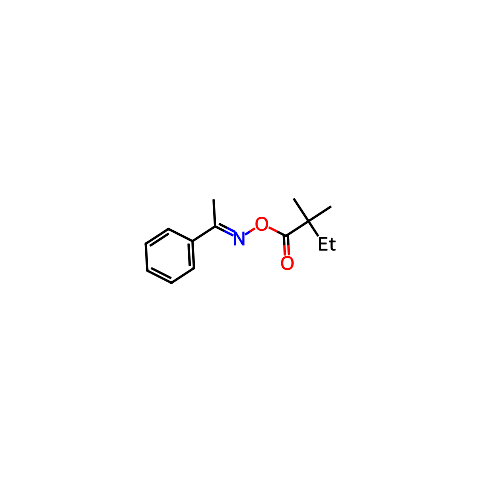 CCC(C)(C)C(=O)O/N=C(\C)c1ccccc1